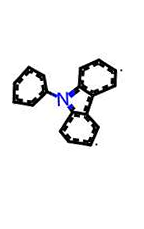 [c]1ccc2c(c1)c1c[c]ccc1n2-c1ccccc1